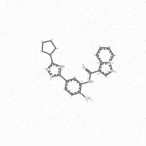 Cc1ccc(-c2nnc(C3CCCC3)[nH]2)cc1NC(=O)c1cnn2ccccc12